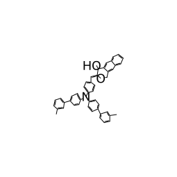 Cc1cccc(-c2ccc(N(c3ccc(/C=C4\OCc5cc6ccccc6cc5C4O)cc3)c3ccc(-c4cccc(C)c4)cc3)cc2)c1